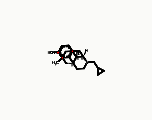 CC[C@@]12CCC(C)(O)C[C@@]13CCN(CC1CC1)[C@@H]2Cc1ccc(O)cc13